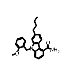 CCCCc1c[c]c2c3c(C(N)=O)cccc3n(Cc3ccccc3OC)c2c1